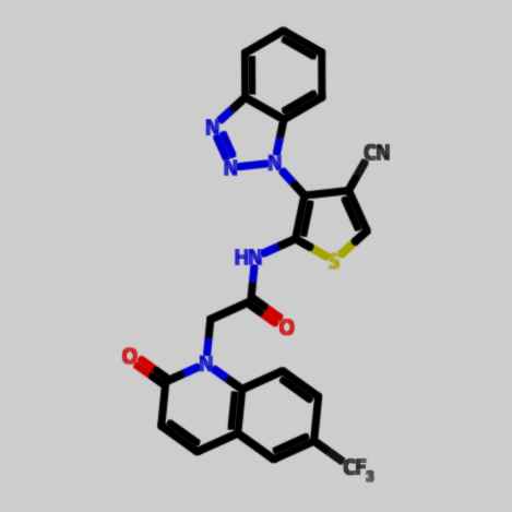 N#Cc1csc(NC(=O)Cn2c(=O)ccc3cc(C(F)(F)F)ccc32)c1-n1nnc2ccccc21